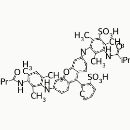 Cc1cc(C)c(Nc2ccc3c(-c4ccccc4S(=O)(=O)O)c4cc/c(=N\c5c(C)c(NC(=O)C(C)C)c(C)c(S(=O)(=O)O)c5C)cc-4oc3c2)c(C)c1NC(=O)C(C)C